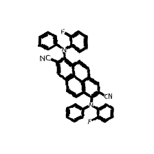 N#Cc1cc2ccc3c(N(c4ccccc4)c4ccccc4F)c(C#N)cc4ccc(c1N(c1ccccc1)c1ccccc1F)c2c43